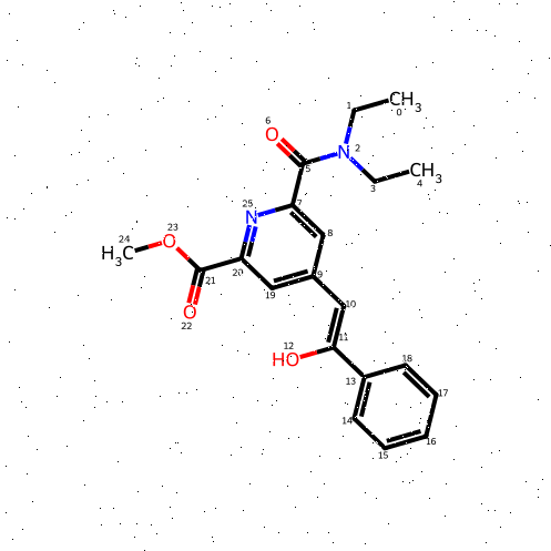 CCN(CC)C(=O)c1cc(C=C(O)c2ccccc2)cc(C(=O)OC)n1